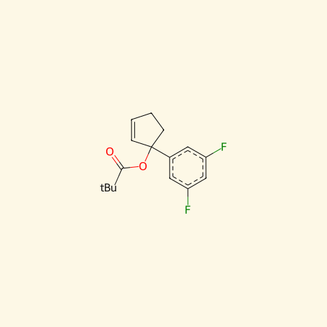 CC(C)(C)C(=O)OC1(c2cc(F)cc(F)c2)C=CCC1